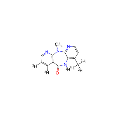 [2H]c1cnc2c(c1[2H])C(=O)N([2H])c1c(C([2H])([2H])[2H])ccnc1N2C